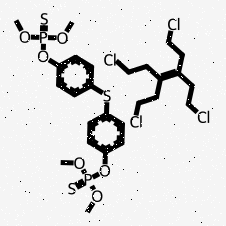 COP(=S)(OC)Oc1ccc(Sc2ccc(OP(=S)(OC)OC)cc2)cc1.ClCCC(CCCl)=C(CCCl)CCCl